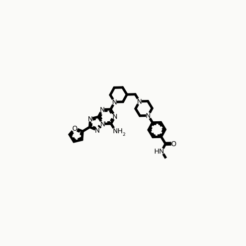 CNC(=O)c1ccc(N2CCN(CC3CCCN(c4nc(N)n5nc(-c6ccco6)nc5n4)C3)CC2)cc1